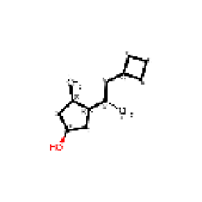 C[C@@H]1C[C@H](O)C[C@@H]1[C@@H](C)CC1CCC1